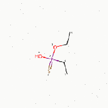 CCOP(O)(=S)CC